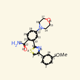 COc1cccc(-c2csc(-c3cc(N4CCOCC4)ccc3C(N)=O)n2)c1